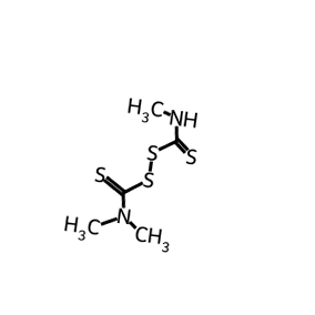 CNC(=S)SSC(=S)N(C)C